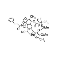 COCOc1c(OC)c(C)cc2c1C1C3Cc4c(OC(=O)C(F)(F)C(F)(F)C(F)(F)F)c(C)c5c(c4[C@H](CNC(=O)CCc4ccccc4)N3[C@@H](C#N)C(C2)N1C)OCO5